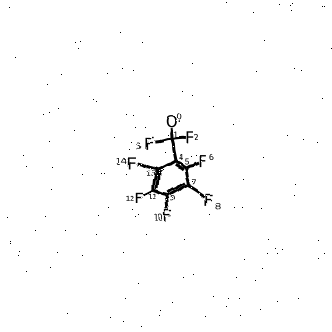 [O]C(F)(F)c1c(F)c(F)c(F)c(F)c1F